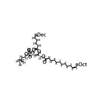 CCCCCCCC/C=C\CCCCCCCCCC(=O)OC[C@H](COP(=O)([O-])OCC[N+](C)(C)C)OC(=O)CCCCCCCCCCCCCC